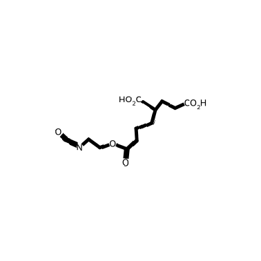 O=C=NCCOC(=O)CCCC(CCC(=O)O)C(=O)O